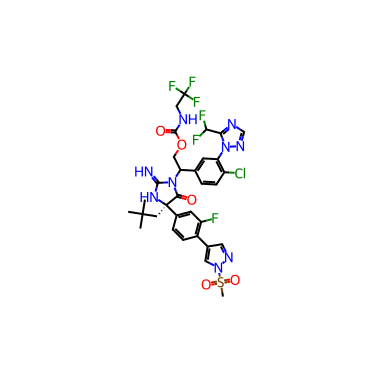 CC(C)(C)C[C@]1(c2ccc(-c3cnn(S(C)(=O)=O)c3)c(F)c2)NC(=N)N(C(COC(=O)NCC(F)(F)F)c2ccc(Cl)c(-n3ncnc3C(F)F)c2)C1=O